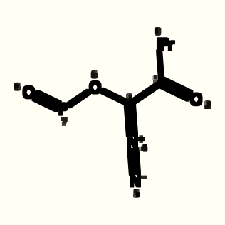 CC(C)C(=O)C(=[N+]=[N-])OP=O